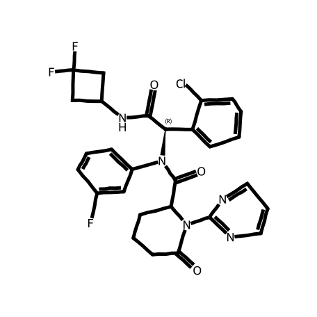 O=C(NC1CC(F)(F)C1)[C@@H](c1ccccc1Cl)N(C(=O)C1CCCC(=O)N1c1ncccn1)c1cccc(F)c1